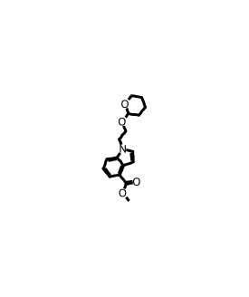 COC(=O)c1cccc2c1ccn2CCOC1CCCCO1